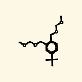 COCOCc1ccc(C(C)(C)C)cc1COCOC